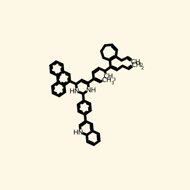 C=CC/C=C(\C1=C(CC=C)C=CCCC1)C(C)/C=C\C(=C/C)C1=CC(c2cc3ccccc3c3ccccc23)NC(c2ccc(C3=CNC4C=CC=CC4=C3)cc2)N1